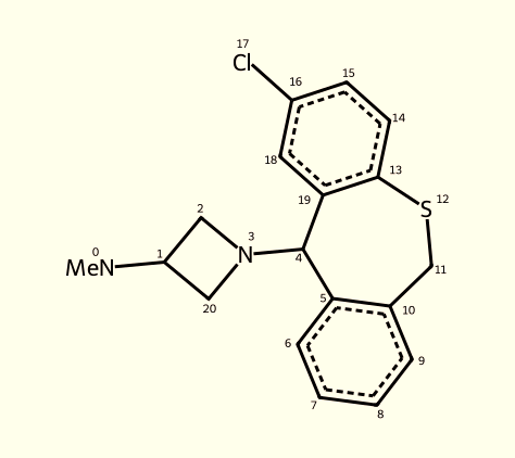 CNC1CN(C2c3ccccc3CSc3ccc(Cl)cc32)C1